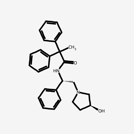 CC(C(=O)N[C@H](CN1CC[C@H](O)C1)c1ccccc1)(c1ccccc1)c1ccccc1